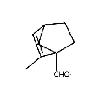 CC1=CC2CCC1([C]=O)C2